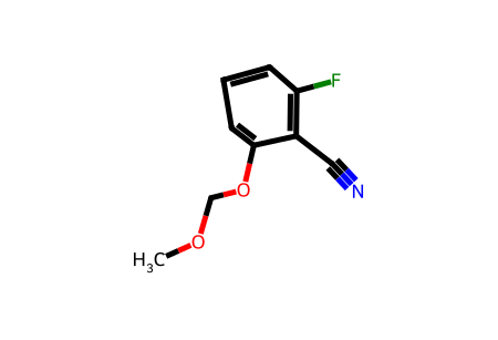 COCOc1cccc(F)c1C#N